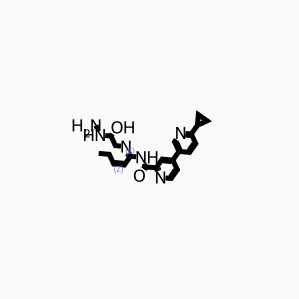 CC/C=C\C(=N/CC(O)NN)NC(=O)c1cc(-c2ccc(C3CC3)nc2)ccn1